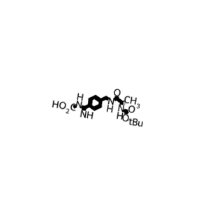 C[C@H](NC(=O)OC(C)(C)C)C(=O)NCc1ccc(C(=N)NC(=O)O)cc1